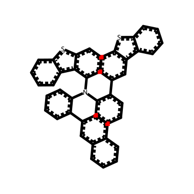 c1ccc(N(c2ccccc2-c2ccc3sc4ccccc4c3c2)c2cccc3sc4ccccc4c23)c(-c2ccc3ccccc3c2)c1